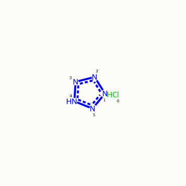 Cl.n1nn[nH]n1